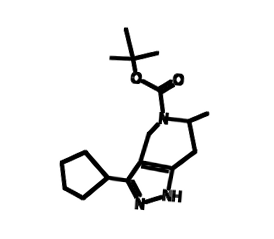 CC1Cc2[nH]nc(C3CCCC3)c2CN1C(=O)OC(C)(C)C